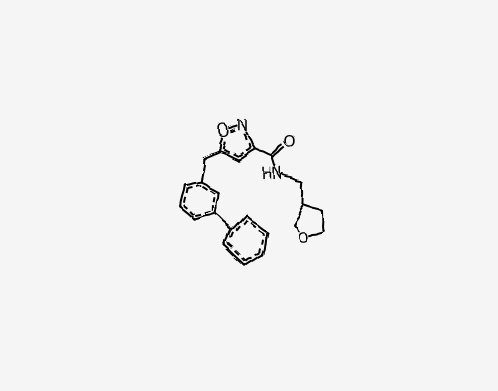 O=C(NCC1CCOC1)c1cc(Cc2cccc(-c3ccccc3)c2)on1